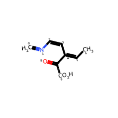 C=N/C=C\C(=C/C)C(=O)C(=O)O